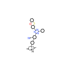 C[C@@H]1C[C@@H]2C[C@H](C)CC(c3ccc(-c4ccc(-c5nc(-c6ccccc6)nc(-c6ccc7c(c6)Sc6ccccc6O7)n5)cc4C#N)cc3)(C1)C2